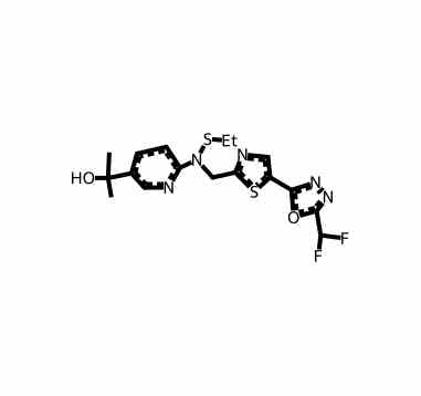 CCSN(Cc1ncc(-c2nnc(C(F)F)o2)s1)c1ccc(C(C)(C)O)cn1